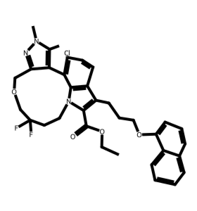 CCOC(=O)c1c(CCCOc2cccc3ccccc23)c2ccc(Cl)c3c2n1CCC(F)(F)COCc1nn(C)c(C)c1-3